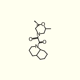 CC1CN(C(=O)C(=O)N2CCCC3CCCCC32)C[C@@H](C)O1